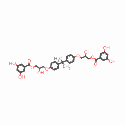 CC(C)(c1ccc(OCC(O)COC(=O)c2cc(O)cc(O)c2)cc1)c1ccc(OCC(O)COC(=O)c2cc(O)cc(O)c2)cc1